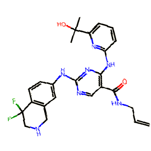 C=CCNC(=O)c1cnc(Nc2ccc3c(c2)CNCC3(F)F)nc1Nc1cccc(C(C)(C)O)n1